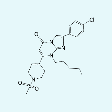 CCCCCn1c(C2=CCN(S(C)(=O)=O)CC2)cc(=O)n2cc(-c3ccc(Cl)cc3)nc12